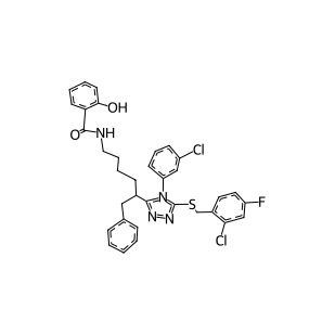 O=C(NCCCCC(Cc1ccccc1)c1nnc(SCc2ccc(F)cc2Cl)n1-c1cccc(Cl)c1)c1ccccc1O